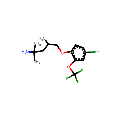 CC(COc1ccc(Br)cc1OC(F)(F)F)CC(C)(C)N